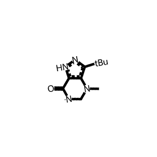 CN1C[N]C(=O)c2[nH]nc(C(C)(C)C)c21